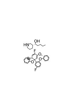 CCCCC(O)[C@@H]1CCCNC1.COC1=C[C@](Oc2ccccc2)(c2cc(F)ccc2Oc2ccccc2)C(Br)C=C1F